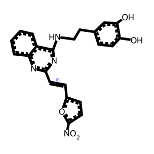 O=[N+]([O-])c1ccc(/C=C/c2nc(NCCc3ccc(O)c(O)c3)c3ccccc3n2)o1